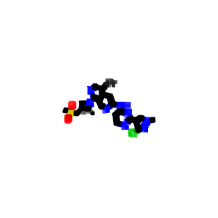 CC(C)c1cnc(N2C[C@H](CS(C)(=O)=O)[C@H]2C)c2cnc(Nc3ccnc(-c4cn(C)nc4Cl)n3)cc12